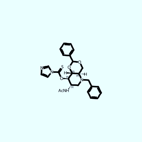 CC(=O)N[C@H]1CN(Cc2ccccc2)[C@@H]2COC(c3ccccc3)O[C@H]2[C@@H]1OC(=S)n1ccnc1